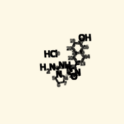 Cl.N=C(N)N1CCC[C@H]1c1nc(-c2ccc3cc(O)ccc3c2)no1